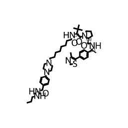 CCCNNC(=O)c1ccc(N2CCN(CCCCCCCC(=O)N[C@H](C(=O)N3CCC[C@H]3C(=O)N[C@@H](C)c3ccc(-c4scnc4C)cc3)C(C)(C)C)CC2)cc1